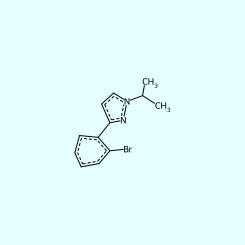 CC(C)n1ccc(-c2ccccc2Br)n1